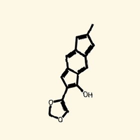 CC1=Cc2cc3c(cc2=C1)C(O)=C(C1=COCO1)C=3